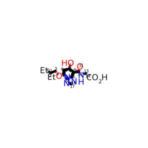 CCC(CC)COc1cc(O)c(C(=O)NCC(=O)O)c2ncnn12